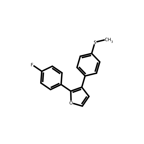 CSc1ccc(-c2ccoc2-c2ccc(F)cc2)cc1